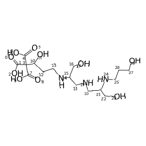 O=C(O)C(C(=O)O)(C(=O)O)C(O)CCNC(CO)CNCC(CO)NCCCO